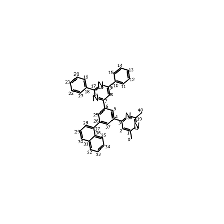 Cc1cc(-c2cc(-c3cc(-c4ccccc4)nc(-c4ccccc4)n3)cc(-c3cccc4ccccc34)c2)nc(C)n1